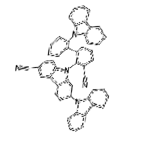 N#Cc1ccc2c(c1)c1ccc(-n3c4ccccc4c4ccccc43)cc1n2-c1c(C#N)cccc1-c1ccccc1-n1c2ccccc2c2ccccc21